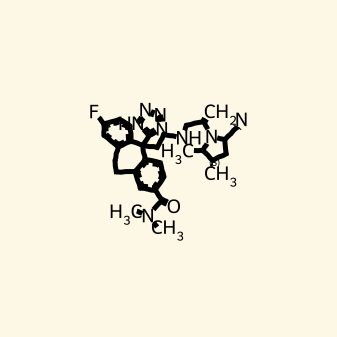 C=C(CNCCC1(c2nnn[nH]2)c2ccc(F)cc2CCc2cc(C(=O)N(C)C)ccc21)N1C(C#N)C[C@H](C)C1C